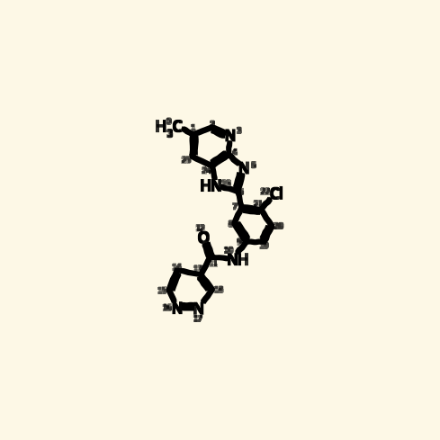 Cc1cnc2nc(-c3cc(NC(=O)c4ccnnc4)ccc3Cl)[nH]c2c1